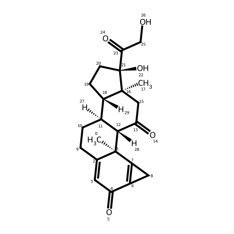 C[C@@]12C(=CC(=O)C3=C1C3)CC[C@@H]1[C@@H]2C(=O)C[C@@]2(C)[C@H]1CC[C@]2(O)C(=O)CO